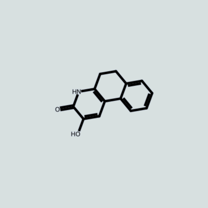 O=c1[nH]c2c(cc1O)-c1ccccc1CC2